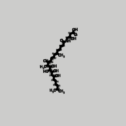 CC(/C=C/C=C/C(=O)NCC(O)CC(=O)O)=C\C=C\C=C(/Cl)C(C)C(O)C(O)C(O)CC(O)/C=C/C=C/C(C)C